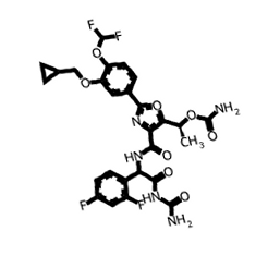 C[C@H](OC(N)=O)c1oc(-c2ccc(OC(F)F)c(OCC3CC3)c2)nc1C(=O)NC(C(=O)NC(N)=O)c1ccc(F)cc1F